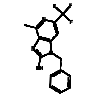 Cc1nc(C(F)(F)F)cc2c1nc(O)n2Cc1ccccc1